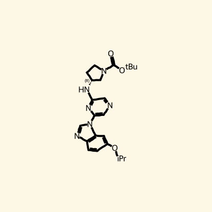 CC(C)Oc1ccc2ncn(-c3cncc(N[C@@H]4CCN(C(=O)OC(C)(C)C)C4)n3)c2c1